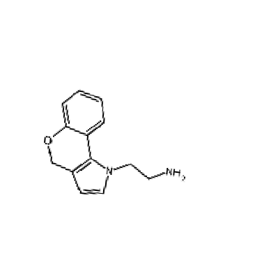 NCCn1ccc2c1-c1ccccc1OC2